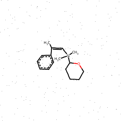 CC(=C[Si](C)(C)C1CCCCO1)c1ccccc1